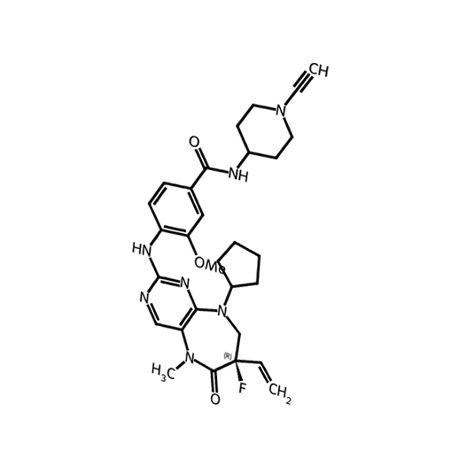 C#CN1CCC(NC(=O)c2ccc(Nc3ncc4c(n3)N(C3CCCC3)C[C@](F)(C=C)C(=O)N4C)c(OC)c2)CC1